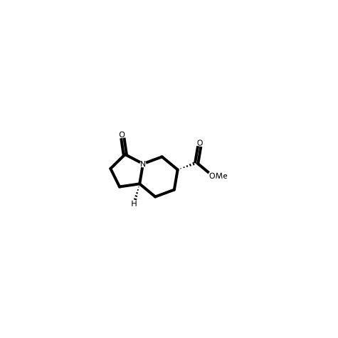 COC(=O)[C@@H]1CC[C@H]2CCC(=O)N2C1